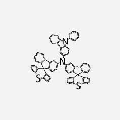 c1ccc(-n2c3ccccc3c3cc(N(c4ccc5c(c4)-c4ccccc4C54c5ccccc5Sc5ccccc54)c4ccc5c(c4)-c4ccccc4C54c5ccccc5Sc5ccccc54)ccc32)cc1